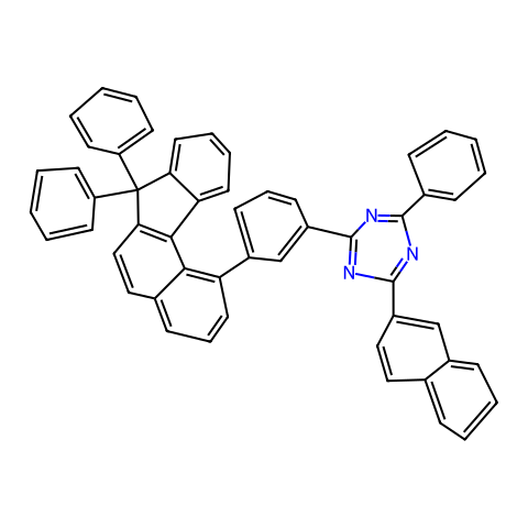 c1ccc(-c2nc(-c3cccc(-c4cccc5ccc6c(c45)-c4ccccc4C6(c4ccccc4)c4ccccc4)c3)nc(-c3ccc4ccccc4c3)n2)cc1